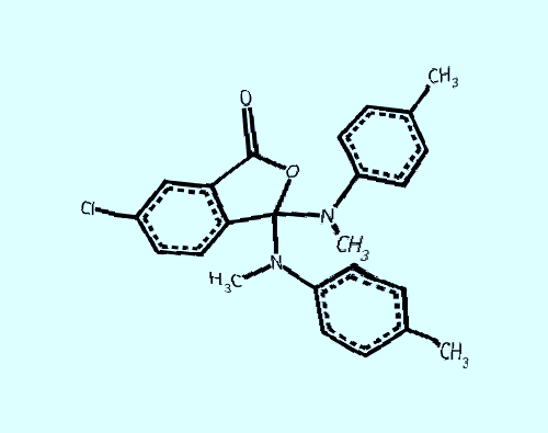 Cc1ccc(N(C)C2(N(C)c3ccc(C)cc3)OC(=O)c3cc(Cl)ccc32)cc1